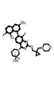 CCc1c(F)ccc2cc(O)cc(-c3ccc4c(N5CCC[C@@](C)(O)C5)nc(OCC5(CN6CCOCC6)CC5)nc4c3F)c12